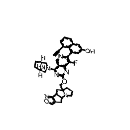 C#Cc1cccc2cc(O)cc(-c3ncc4c(N5C[C@H]6CC[C@@H](C5)N6)nc(OCC56CCCN5C5Cc7conc7C5C6)nc4c3F)c12